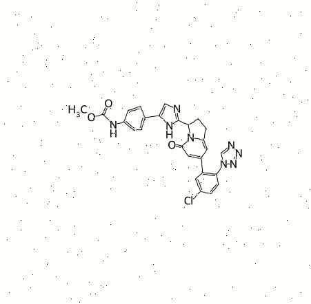 COC(=O)Nc1ccc(-c2cnc(C3CCc4cc(-c5cc(Cl)ccc5-n5cnnn5)cc(=O)n43)[nH]2)cc1